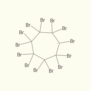 Br[C]1C(Br)(Br)C(Br)(Br)C(Br)(Br)C(Br)(Br)C(Br)(Br)C1(Br)Br